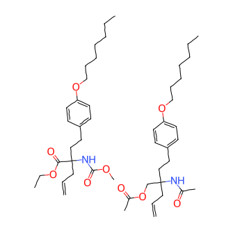 C=CCC(CCc1ccc(OCCCCCCC)cc1)(COC(C)=O)NC(C)=O.C=CCC(CCc1ccc(OCCCCCCC)cc1)(NC(=O)OC)C(=O)OCC